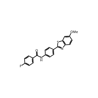 COc1ccc2nc(-c3ccc(NC(=O)c4ccc(F)cc4)cc3)sc2c1